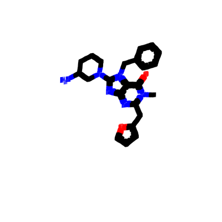 Cn1c(Cc2ccco2)nc2nc(N3CCCC(N)C3)n(Cc3ccccc3)c2c1=O